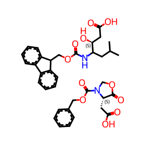 CC(C)CC(NC(=O)OCC1c2ccccc2-c2ccccc21)[C@@H](O)CC(=O)O.O=C(O)C[C@H]1C(=O)OCN1C(=O)OCc1ccccc1